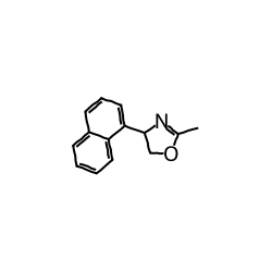 CC1=NC(c2cccc3ccccc23)CO1